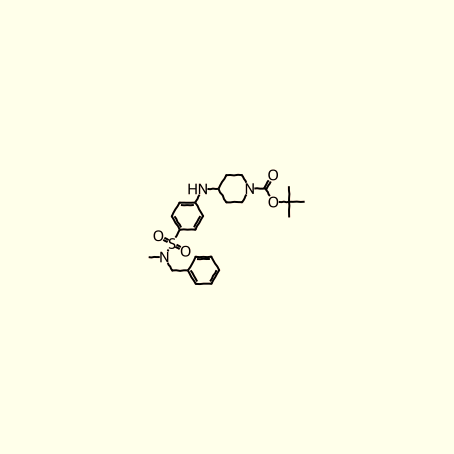 CN(Cc1ccccc1)S(=O)(=O)c1ccc(NC2CCN(C(=O)OC(C)(C)C)CC2)cc1